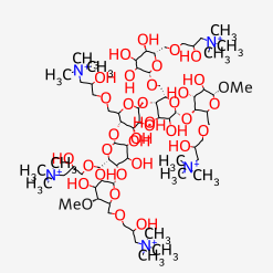 CO[C@@H]1OC(COCC(O)C[N+](C)(C)C)[C@@H](O[C@H]2O[C@@H](CO[C@H]3O[C@@H](COCC(O)C[N+](C)(C)C)[C@H](O)C(O)C3O)[C@@H](O[C@@H]3OC(COCC(O)C[N+](C)(C)C)[C@@H](O[C@H]4O[C@@H](COCC(O)C[N+](C)(C)C)[C@@H](O[C@@H]5OC(COCC(O)C[N+](C)(C)C)[C@@H](OC)C(O)C5O)C(O)C4O)[C@H](O)C3O)C(O)C2O)[C@H](O)C1O